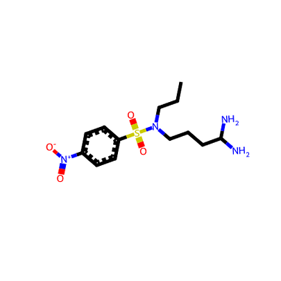 CCCN(CCCC(N)N)S(=O)(=O)c1ccc([N+](=O)[O-])cc1